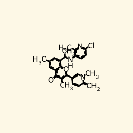 C=C1C=CC(c2oc3c(C(C)Nc4ccc(Cl)nc4C)cc(C)cc3c(=O)c2C)=CN1C